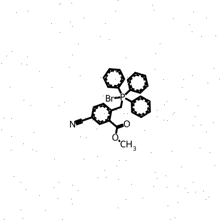 COC(=O)c1cc(C#N)ccc1CP(Br)(c1ccccc1)(c1ccccc1)c1ccccc1